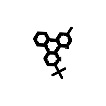 Cc1cnc2c(c1)c1ccccc1c1ccc(C(C)(C)C)nc12